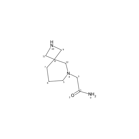 NC(=O)CN1CCCC2(CNC2)C1